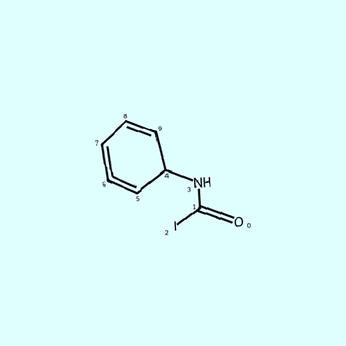 O=C(I)NC1C=C=CC=C1